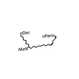 CCCCC/C=C\C/C=C\CCCCCCCCC(CCCCCCCCCCCCCCCC)NC